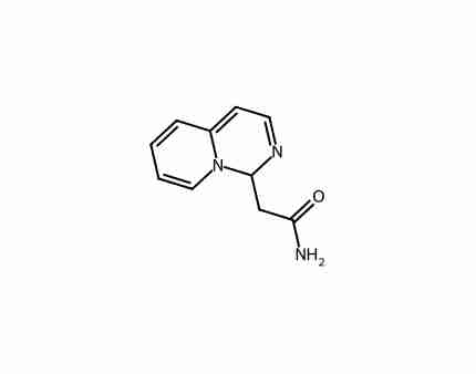 NC(=O)CC1N=CC=C2C=CC=CN21